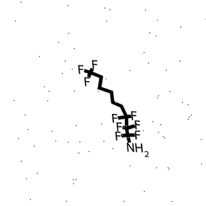 NC(F)(F)C(F)(F)C(F)(F)CCCCCC(F)(F)F